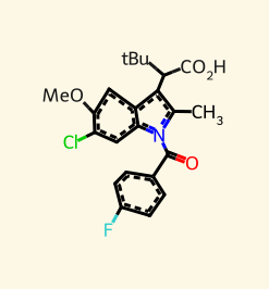 COc1cc2c(C(C(=O)O)C(C)(C)C)c(C)n(C(=O)c3ccc(F)cc3)c2cc1Cl